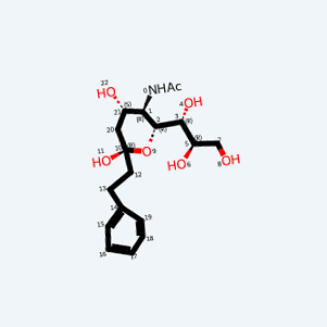 CC(=O)N[C@H]1[C@H]([C@H](O)[C@H](O)CO)O[C@](O)(C[CH]c2ccccc2)C[C@@H]1O